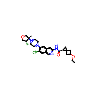 CCOC1CC2(C1)C[C@@H]2C(=O)Nc1cc2cc(N3CCN([C@@]4(C)COC[C@H]4F)CC3)c(Cl)cc2cn1